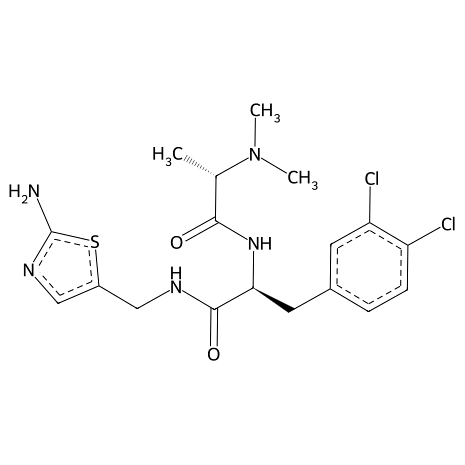 C[C@@H](C(=O)N[C@@H](Cc1ccc(Cl)c(Cl)c1)C(=O)NCc1cnc(N)s1)N(C)C